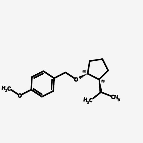 COc1ccc(CO[C@@H]2CCC[C@H]2C(C)C)cc1